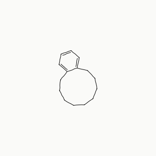 c1ccc2c(c1)CCCCCCCCC2